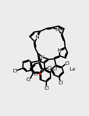 Clc1ccc(-c2c(-c3ccc(Cl)cc3Cl)c3c(-c4ccc(Cl)cc4Cl)c4nc(cc5ccc(cc6nc(cc2n3-c2ccc(Cl)cc2Cl)C=C6)[nH]5)C=C4)c(Cl)c1.[La]